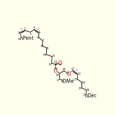 CCCCC/C=C\C/C=C\CCCCCCCC(=O)OC(COC)CO/C=C\CCCCCCCCCCCCCC